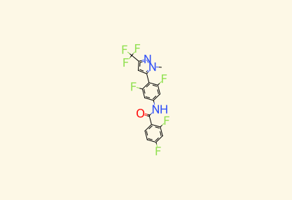 Cn1nc(C(F)(F)F)cc1-c1c(F)cc(NC(=O)c2ccc(F)cc2F)cc1F